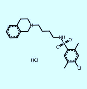 Cc1cc(S(=O)(=O)NCCCCN2CCc3ccccc3C2)c(C)cc1Cl.Cl